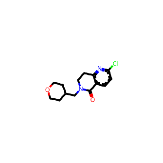 O=C1c2ccc(Cl)nc2CCN1CC1CCOCC1